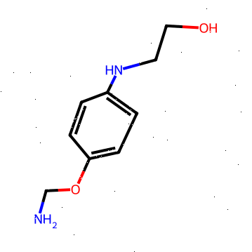 NCOc1ccc(NCCO)cc1